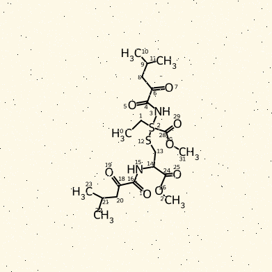 CCS(NC(=O)C(=O)CC(C)C)(SCC(NC(=O)C(=O)CC(C)C)C(=O)OC)C(=O)OC